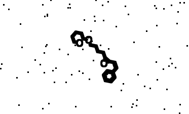 C(=C/C1OC1CCCCOC1CCCCO1)/c1ccccc1